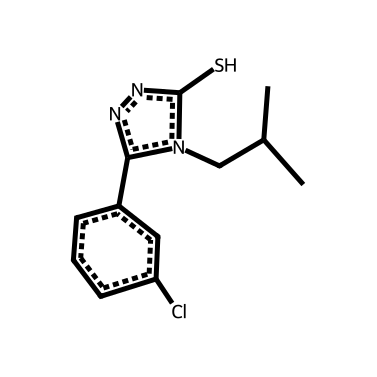 CC(C)Cn1c(S)nnc1-c1cccc(Cl)c1